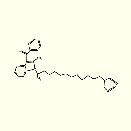 Cc1c(C(=O)c2ccccc2)c2ccccc2n1C(C)CCCCCCCCCOCc1ccccc1